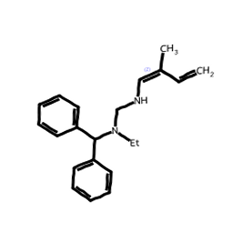 C=C/C(C)=C\NCN(CC)C(c1ccccc1)c1ccccc1